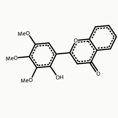 COc1cc(-c2cc(=O)c3ccccc3o2)c(O)c(OC)c1OC